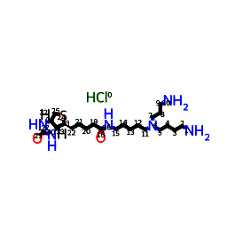 Cl.NCCCCN(CCCN)CCCCCNC(=O)CCCC[C@@H]1SC[C@@H]2NC(=O)N[C@@H]21